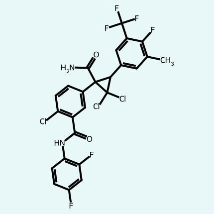 Cc1cc(C2C(Cl)(Cl)C2(C(N)=O)c2ccc(Cl)c(C(=O)Nc3ccc(F)cc3F)c2)cc(C(F)(F)F)c1F